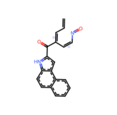 C=C/C=C(\C=C/N=O)C(=O)c1cc2c(ccc3ccccc32)[nH]1